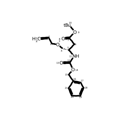 C=CCOC[C@H](CC(=O)OC(C)(C)C)NC(=O)OCc1ccccc1